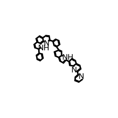 C1=CC2=CC=C(c3ccc4ccc(-c5ccccn5)nc4c3)NC2C=C1c1cccc(-c2ccc3ccc4c(c3n2)NC(c2ccccc2)C=C4)c1